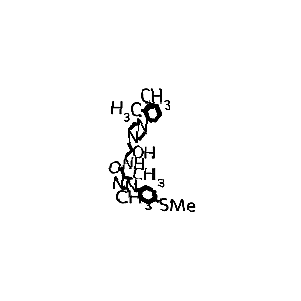 CSc1ccc(-n2c(C)nc(C(=O)NCC(O)CN3CCN(c4cccc(C)c4C)CC3)c2C)cc1